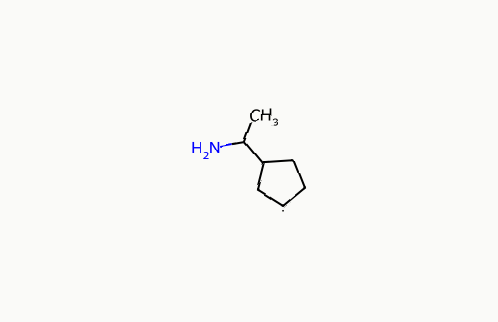 CC(N)C1C[CH]CC1